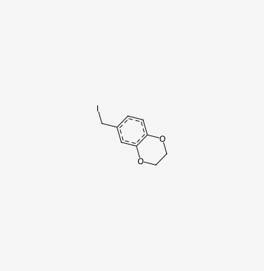 ICc1ccc2c(c1)OCCO2